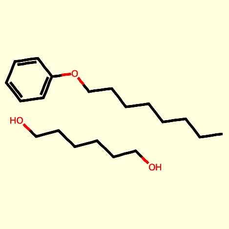 CCCCCCCCOc1ccccc1.OCCCCCCO